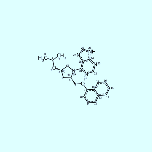 CC(C)O[C@@H]1C[C@H](COc2cccc3ccccc23)N(c2ncnc3[nH]cnc23)C1